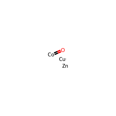 [Cu].[O]=[Co].[Zn]